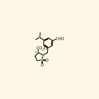 CCOC(=O)[C@@H]1CCS(=O)(=O)N1Cc1cc(C=O)cc(N(C)C)c1